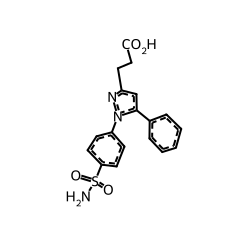 NS(=O)(=O)c1ccc(-n2nc(CCC(=O)O)cc2-c2ccccc2)cc1